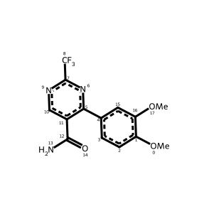 COc1ccc(-c2nc(C(F)(F)F)ncc2C(N)=O)cc1OC